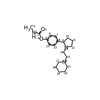 CNC(=O)Oc1ccc(C2CCCN2CCN2CCCCC2)cc1